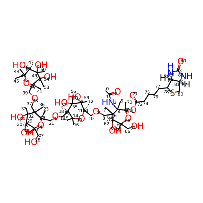 CC(=O)NC1(C)C(C)(COC[C@@]2(C)OC(C)(C)[C@@](C)(COC[C@]3(C)OC(C)(CO)[C@@](C)(O)C(C)(O)C3(C)COC[C@]3(C)OC(C)(C)[C@@](C)(O)C(C)(O)C3(C)O)C(C)(O)C2(C)O)[C@](C)(O)C(C)(CO)O[C@@]1(C)OC(=O)CCCCC1SC[C@@H]2NC(=O)N[C@H]12